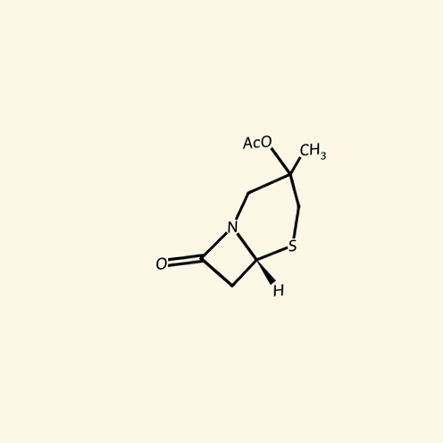 CC(=O)OC1(C)CS[C@@H]2CC(=O)N2C1